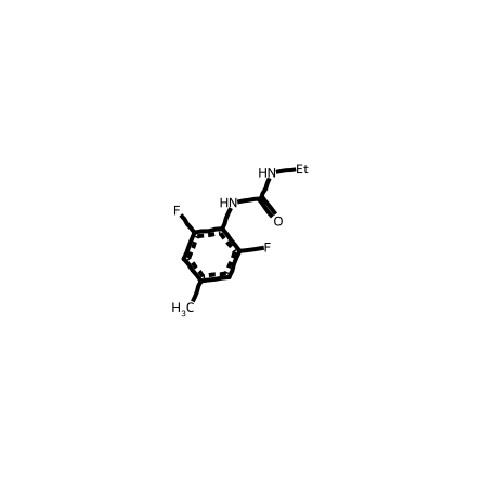 CCNC(=O)Nc1c(F)cc(C)cc1F